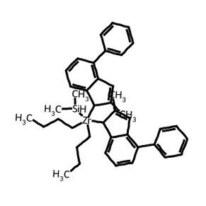 CCC[CH2][Zr]([CH2]CCC)([CH]1C(C)=Cc2c(-c3ccccc3)cccc21)([CH]1C(C)=Cc2c(-c3ccccc3)cccc21)[SiH](C)C